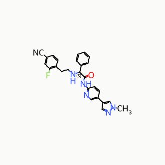 Cn1cc(-c2ccc(NC(=O)[C@@H](NCCc3ccc(C#N)cc3F)c3ccccc3)nc2)cn1